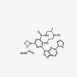 CCN(CCO)C(C)CNC(=O)c1cc(-c2cnn3ccc(-c4cccs4)nc23)nc(N2CC[C@H]2C(=O)NC)c1